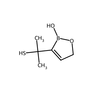 CC(C)(S)C1=CCOB1O